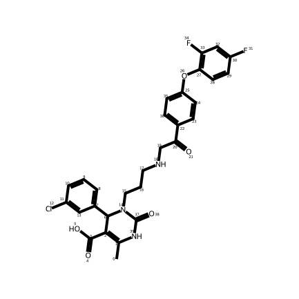 CC1=C(C(=O)O)C(c2cccc(Cl)c2)N(CCCNCC(=O)c2ccc(Oc3ccc(F)cc3F)cc2)C(=O)N1